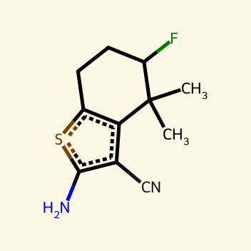 CC1(C)c2c(sc(N)c2C#N)CCC1F